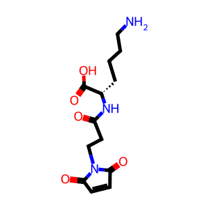 NCCCC[C@H](NC(=O)CCN1C(=O)C=CC1=O)C(=O)O